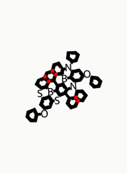 c1ccc(Oc2cc3c4c(c2)Sc2c(c(-c5ccccc5)c5c(c2-c2ccccc2)N(c2ccccc2)c2cc(Oc6ccccc6)cc6c2B5c2ccccc2N6c2ccccc2)B4c2ccccc2S3)cc1